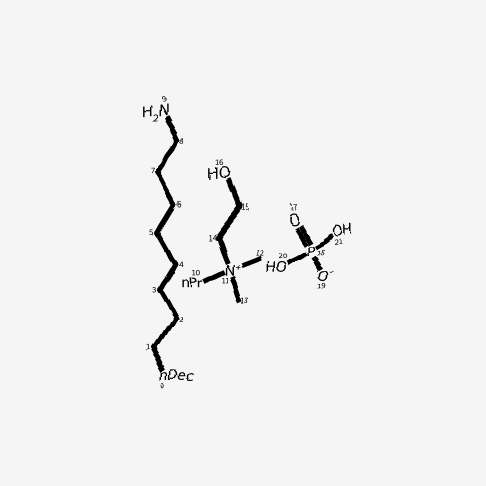 CCCCCCCCCCCCCCCCCCN.CCC[N+](C)(C)CCO.O=P([O-])(O)O